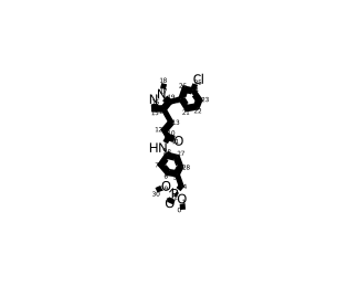 COP(=O)(Cc1ccc(NC(=O)/C=C/c2cnn(C)c2-c2cccc(Cl)c2)cc1)OC